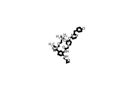 Cc1nnc(-c2ccc(NC[C@@H]3CCO3)c(NC(=O)CN3CCC(Oc4ccnc(Cc5ccc(Cl)cc5)n4)CC3)c2)n1COCC[Si](C)(C)C